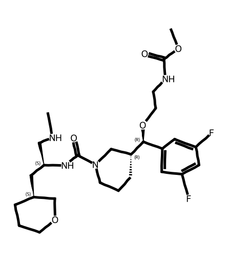 CNC[C@H](C[C@@H]1CCCOC1)NC(=O)N1CCC[C@@H]([C@@H](OCCNC(=O)OC)c2cc(F)cc(F)c2)C1